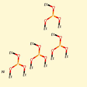 CCOP(OCC)OCC.CCOP(OCC)OCC.CCOP(OCC)OCC.CCOP(OCC)OCC.[Ni]